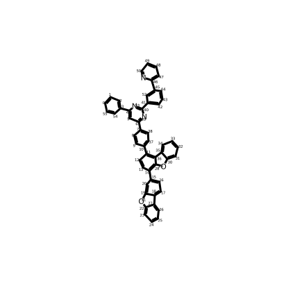 c1ccc(-c2cc(-c3ccc(-c4ccc(-c5ccc6c(c5)oc5ccccc56)c5oc6ccccc6c45)cc3)nc(-c3cccc(-c4ccccn4)c3)n2)cc1